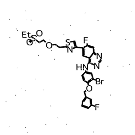 CCS(=O)(=O)CCOCCc1nc(-c2cc3c(Nc4ccc(OCc5cccc(F)c5)c(Br)c4)ncnc3cc2F)cs1